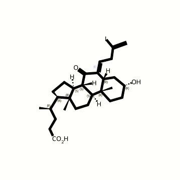 C=C(I)C/C=C1/C(=O)[C@@H]2[C@H](CC[C@]3(C)[C@@H]([C@H](C)CCC(=O)O)CC[C@@H]23)[C@@]2(C)CC[C@@H](O)C[C@@H]12